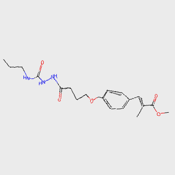 CCCNC(=O)NNC(=O)CCCOc1ccc(/C=C(\C)C(=O)OC)cc1